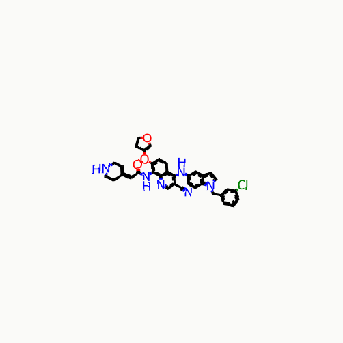 N#Cc1cnc2c(NC(=O)C=C3CCNCC3)c(OC3CCOC3)ccc2c1Nc1ccc2c(ccn2Cc2cccc(Cl)c2)c1